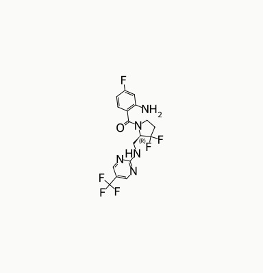 Nc1cc(F)ccc1C(=O)N1CCC(F)(F)[C@H]1CNc1ncc(C(F)(F)F)cn1